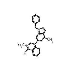 Cc1cc(-c2cn(C)c(=O)c3ccccc23)cc2c1ccn2Cc1ccccc1